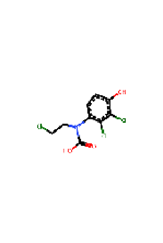 O=C(O)N(CCCl)c1ccc(O)c(Cl)c1Cl